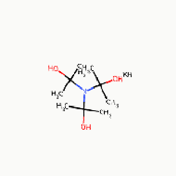 CC(C)(O)N(C(C)(C)O)C(C)(C)O.[KH]